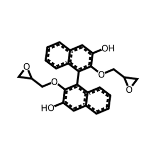 Oc1cc2ccccc2c(-c2c(OCC3CO3)c(O)cc3ccccc23)c1OCC1CO1